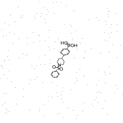 O=S(=O)(c1ccccc1)N1CCC(c2ccc(B(O)O)cc2)CC1